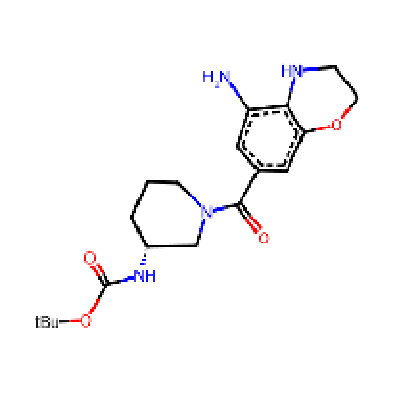 CC(C)(C)OC(=O)N[C@@H]1CCCN(C(=O)c2cc(N)c3c(c2)OCCN3)C1